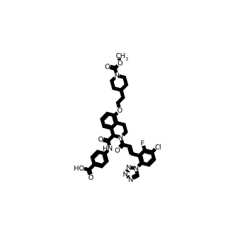 COC(=O)N1CCC(CCOc2cccc3c2CCN(C(=O)/C=C/c2c(-n4cnnn4)ccc(Cl)c2F)C3C(=O)Nc2ccc(C(=O)O)cc2)CC1